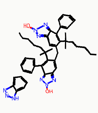 CCCCCC(C)(C)c1c(Cc2cc3nn(O)nc3c(-c3ccccc3)c2C(C)(C)CCCCC)cc2nn(O)nc2c1-c1ccccc1.c1ccc2[nH]nnc2c1